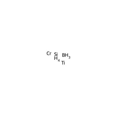 B.[Cr].[SiH4].[Ti]